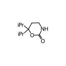 CC(C)C1(C(C)C)CCNC(=O)O1